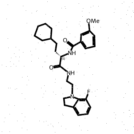 COc1cccc(C(=O)N[C@@H](CCC2CCCCC2)C(=O)NCCN2CCc3cccc(F)c32)c1